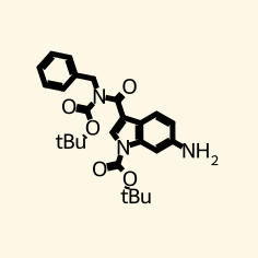 CC(C)(C)OC(=O)N(Cc1ccccc1)C(=O)c1cn(C(=O)OC(C)(C)C)c2cc(N)ccc12